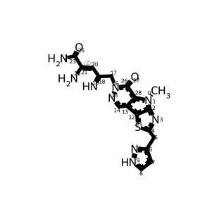 Cn1c2nc(Cc3cc[nH]n3)sc2c2cnn(CC(=N)/C=C(\N)C(N)=O)c(=O)c21